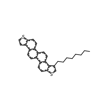 CCCCCCCCc1csc2ccc3c4ccc5c6ccsc6ccc5c4ccc3c12